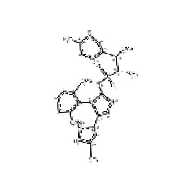 COc1cccc(OC)c1-n1c(NS(=O)(=O)[C@@H](C)[C@H](OC)c2cnc(C)cn2)nnc1-c1cc(C)[nH]n1